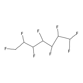 FCC(F)C(F)C(F)C(F)C(F)C(F)F